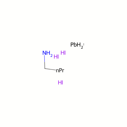 CCCCN.I.I.I.[PbH2]